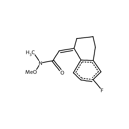 CON(C)C(=O)/C=C1/CCCc2cc(F)ccc21